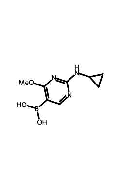 COc1nc(NC2CC2)ncc1B(O)O